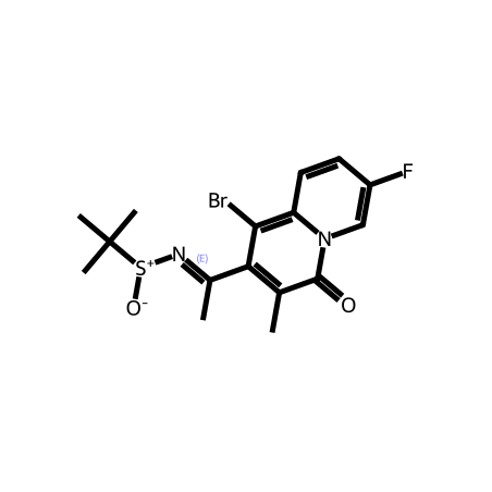 C/C(=N\[S+]([O-])C(C)(C)C)c1c(C)c(=O)n2cc(F)ccc2c1Br